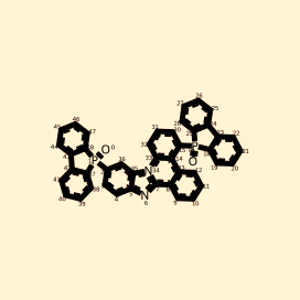 O=P1(c2ccc3nc4c5ccccc5c5c(P6(=O)c7ccccc7-c7ccccc76)cccc5n4c3c2)c2ccccc2-c2ccccc21